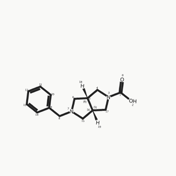 O=C(O)N1C[C@H]2CN(Cc3ccccc3)C[C@H]2C1